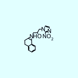 O=[N+]([O-])c1nccn1CC(O)CN1C2CCc3ccccc3C21